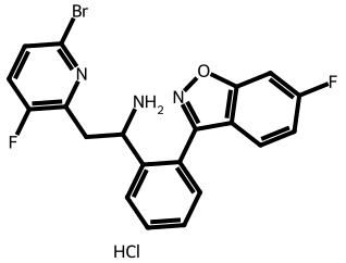 Cl.NC(Cc1nc(Br)ccc1F)c1ccccc1-c1noc2cc(F)ccc12